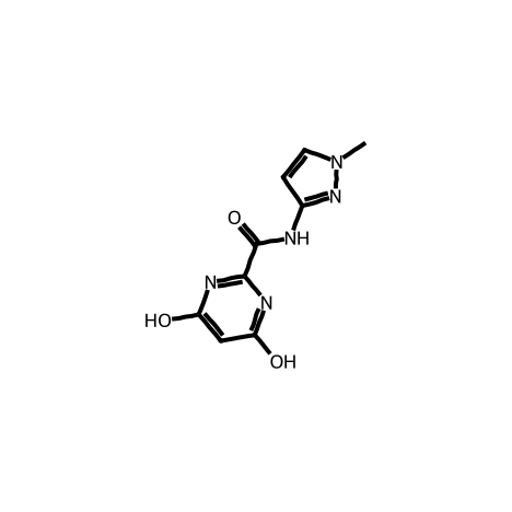 Cn1ccc(NC(=O)c2nc(O)cc(O)n2)n1